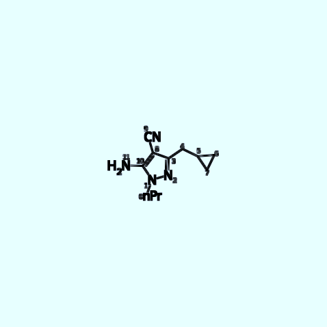 CCCn1nc(CC2CC2)c(C#N)c1N